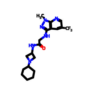 Cn1nc(NCC(=O)NC2CN(C3CCCCC3)C2)c2cc(C(F)(F)F)cnc21